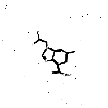 COC(=O)c1cc(I)cc2c1ncn2CC(F)F